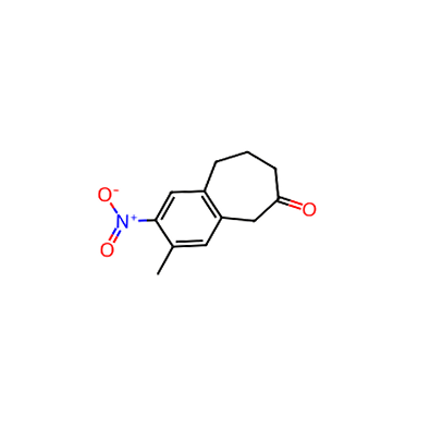 Cc1cc2c(cc1[N+](=O)[O-])CCCC(=O)C2